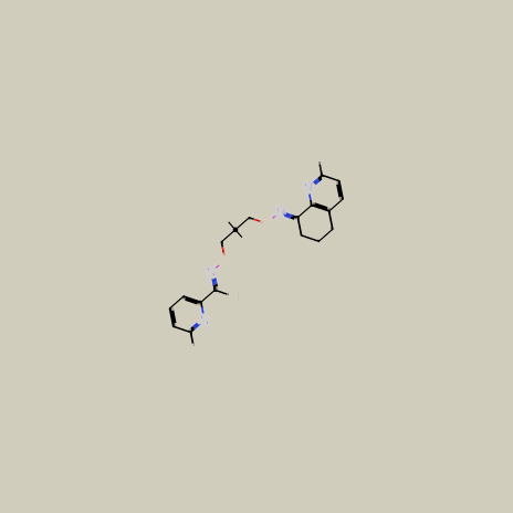 C/C(=N\OCC(C)(C)CO/N=C1\CCCc2ccc(C(F)(F)F)nc21)c1cccc(C)n1